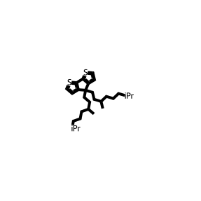 CC(C)CCCC(C)CCC1(CCC(C)CCCC(C)C)c2ccsc2-c2sccc21